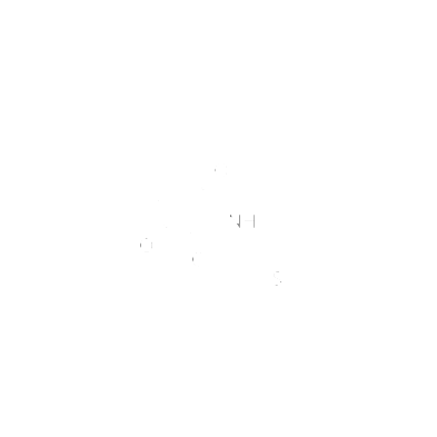 O=C1C(Cl)=C(NCc2cccs2)C(=O)c2ccccc21